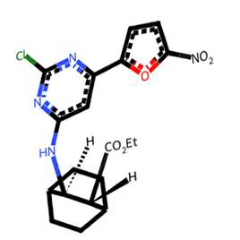 CCOC(=O)[C@@H]1C2CCC(CC2)[C@H]1Nc1cc(-c2ccc([N+](=O)[O-])o2)nc(Cl)n1